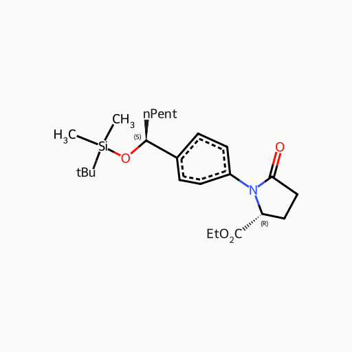 CCCCC[C@H](O[Si](C)(C)C(C)(C)C)c1ccc(N2C(=O)CC[C@@H]2C(=O)OCC)cc1